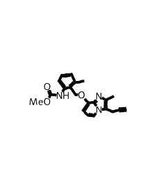 C#CCc1c(C)nc2c(OCc3c(C)cccc3NC(=O)OC)cccn12